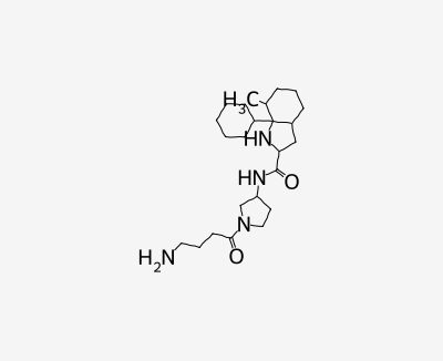 CC1CCCC2CC(C(=O)NC3CCN(C(=O)CCCN)C3)NC12C1CCCCC1